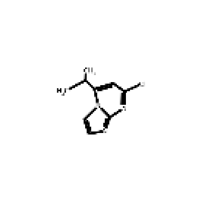 CC(C)c1cc(Cl)nc2nccn12